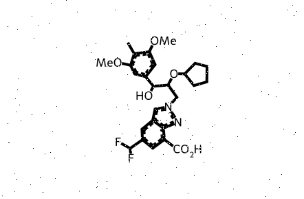 COc1cc(C(O)C(Cn2cc3cc(C(F)F)cc(C(=O)O)c3n2)OC2CCCC2)cc(OC)c1C